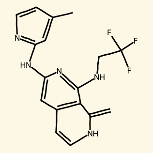 C=C1NC=Cc2cc(Nc3cc(C)ccn3)nc(NCC(F)(F)F)c21